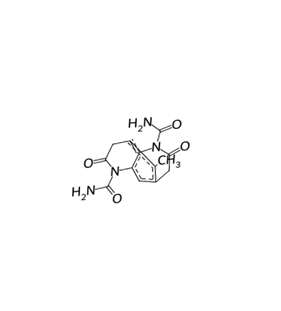 Cc1c2cc3c(c1CC(=O)N3C(N)=O)N(C(N)=O)C(=O)C2